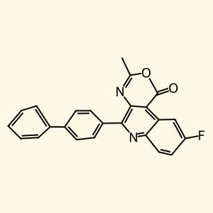 Cc1nc2c(-c3ccc(-c4ccccc4)cc3)nc3ccc(F)cc3c2c(=O)o1